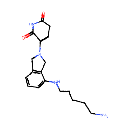 NCCCCCNc1cccc2c1CN(C1CCC(=O)NC1=O)C2